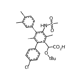 Cc1ccc(-c2c(C)c(-c3ccc(Cl)cc3)c(C(OC(C)(C)C)C(=O)O)c(C)c2NS(C)(=O)=O)cc1C